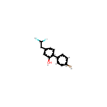 Oc1cc(CC(F)F)ccc1-c1ccc(Br)cc1